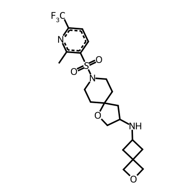 Cc1nc(C(F)(F)F)ccc1S(=O)(=O)N1CCC2(CC1)CC(NC1CC3(COC3)C1)CO2